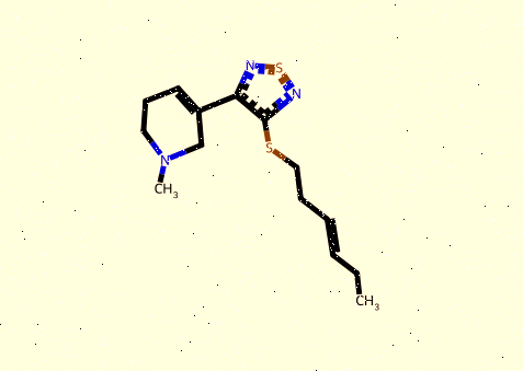 CCC=CCCSc1nsnc1C1=CCCN(C)C1